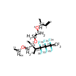 C=C[SiH](C)O[SiH2][SiH2]O[Si](C)([SiH2]O[SiH](C)C)C(C)C(F)(F)C(F)(F)C(F)(F)C(F)(F)F